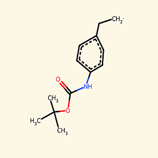 [CH2]Cc1ccc(NC(=O)OC(C)(C)C)cc1